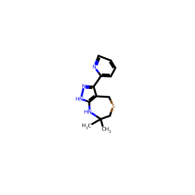 CC1(C)CSCc2c(-c3ccccn3)n[nH]c2N1